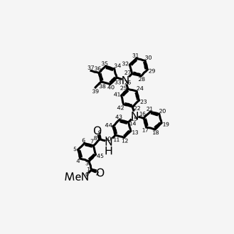 CNC(=O)c1cccc(C(=O)Nc2ccc(N(c3ccccc3)c3ccc(N(c4ccccc4)c4ccc(C)c(C)c4)cc3)cc2)c1